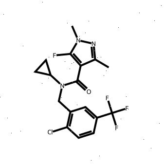 Cc1nn(C)c(F)c1C(=O)N(Cc1cc(C(F)(F)F)ccc1Cl)C1CC1